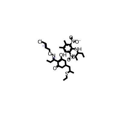 CCC(CC)Nc1c([N+](=O)[O-])cc(C)c(C)c1[N+](=O)[O-].CCSC(C)CC1CC(=O)C(/C(CC)=N/OC/C=C/Cl)=C(O)C1